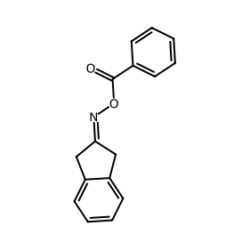 O=C(ON=C1Cc2ccccc2C1)c1ccccc1